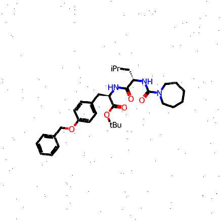 CC(C)C[C@H](NC(=O)N1CCCCCC1)C(=O)N[C@H](Cc1ccc(OCc2ccccc2)cc1)C(=O)OC(C)(C)C